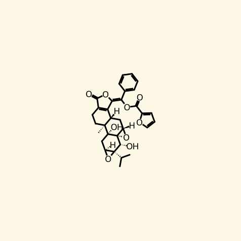 CC(C)[C@]12O[C@H]1C[C@]1(O)[C@]3(O[C@H]3C[C@H]3C4=C(CC[C@@]31C)C(=O)O/C4=C(/OC(=O)c1ccco1)c1ccccc1)[C@@H]2O